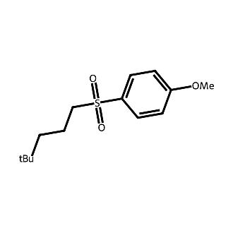 COc1ccc(S(=O)(=O)CCCC(C)(C)C)cc1